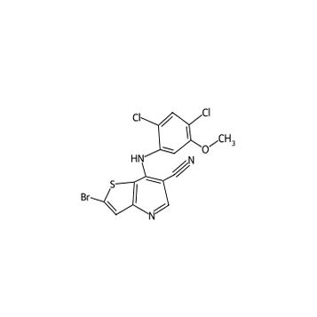 COc1cc(Nc2c(C#N)cnc3cc(Br)sc23)c(Cl)cc1Cl